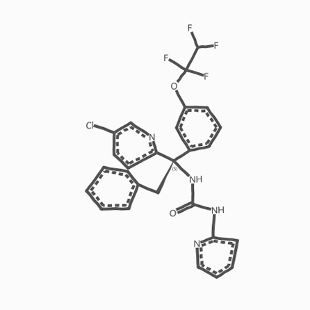 O=C(Nc1ccccn1)N[C@@](Cc1ccccc1)(c1cccc(OC(F)(F)C(F)F)c1)c1ccc(Cl)cn1